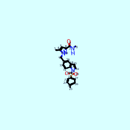 CNC(=O)c1cc(C)n(Cc2ccc3c(ccn3S(=O)(=O)c3ccc(C)cc3)c2)n1